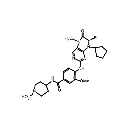 CC[C@@H]1C(=O)N(C)c2cnc(Nc3ccc(C(=O)NC4CCN(C(=O)O)CC4)cc3OC)nc2N1C1CCCC1